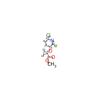 COC(=O)C1(Oc2ccc(Cl)nc2F)CC1